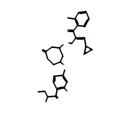 C=C1CCC(Nc2ccc(C(=N)C(C)CC)c(F)c2)CC(OC/C(C(=N)c2c(Cl)cccc2Cl)=C(/O)C2CC2)C1